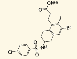 COC(=O)CCc1c(I)c(Br)cc2c1CCC(NS(=O)(=O)c1ccc(Cl)cc1)C2